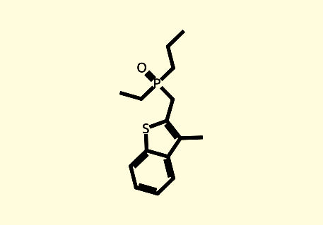 CCCP(=O)(CC)Cc1sc2ccccc2c1C